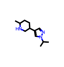 CC1CCC(c2cnn(C(C)C)c2)CN1